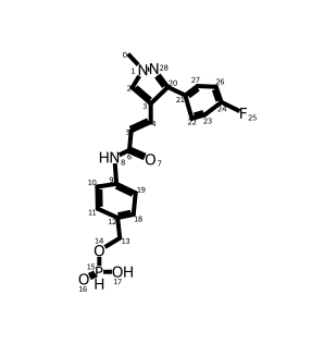 Cn1cc(C=CC(=O)Nc2ccc(CO[PH](=O)O)cc2)c(-c2ccc(F)cc2)n1